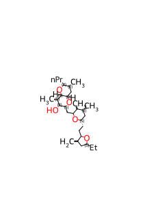 C=C1C[C@H](CC)OC1CC[C@H]1C[C@@H](C)C(=C)C(C[C@@H]2O[C@H]3C[C@@H](C)[C@@H](CCC)O[C@H]3[C@H](C)[C@H]2O)O1